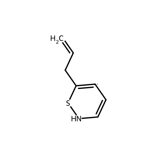 C=CCC1=[C]C=CNS1